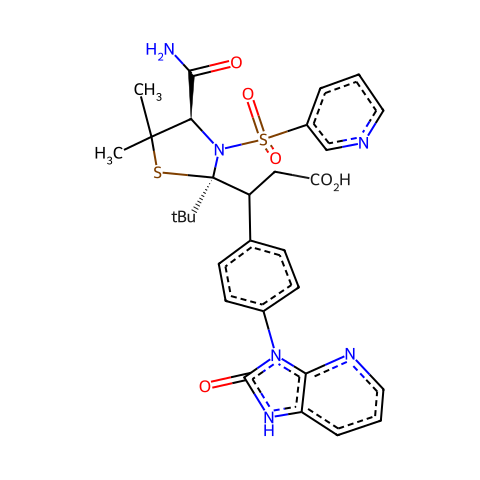 CC1(C)S[C@@](C(CC(=O)O)c2ccc(-n3c(=O)[nH]c4cccnc43)cc2)(C(C)(C)C)N(S(=O)(=O)c2cccnc2)[C@@H]1C(N)=O